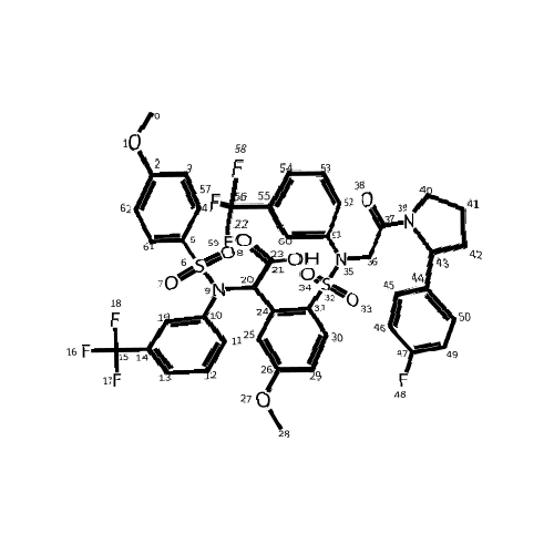 COc1ccc(S(=O)(=O)N(c2cccc(C(F)(F)F)c2)C(C(=O)O)c2cc(OC)ccc2S(=O)(=O)N(CC(=O)N2CCCC2c2ccc(F)cc2)c2cccc(C(F)(F)F)c2)cc1